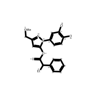 CCC(C(=O)Oc1cc(COC)nn1-c1ccc(Cl)c(Cl)c1)c1ccccc1